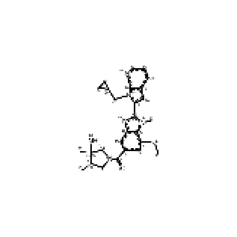 COc1cc(C(=O)N2C[C@@H](C)[C@](C)(N)C2)cc2nc(-c3cc4cccnc4n3CC3CC3)n(C)c12